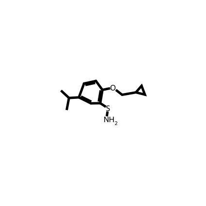 CC(C)c1ccc(OCC2CC2)c(SN)c1